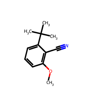 COc1cccc(C(C)(C)C)c1C#N